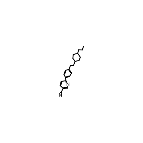 CCCC1CCC(CCc2ccc(-c3ccc(C#N)cn3)cc2)CC1